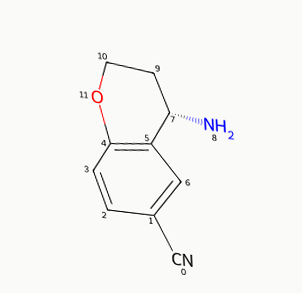 N#Cc1ccc2c(c1)[C@@H](N)CCO2